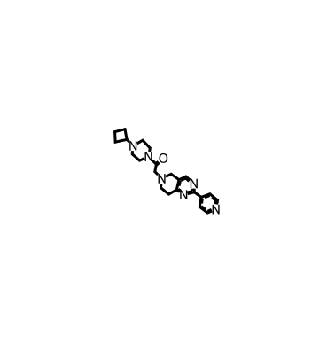 O=C(CN1CCc2nc(-c3ccncc3)ncc2C1)N1CCN(C2CCC2)CC1